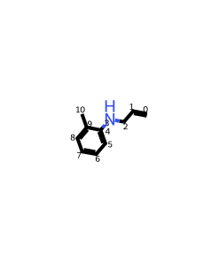 C=CCNc1ccccc1C